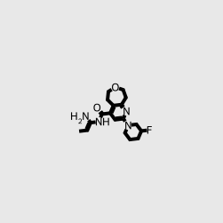 C/C=C(\N)NC(=O)c1cc(N2CCCC(F)C2)nc2c1CCOCC2